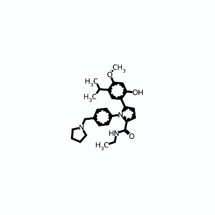 CCNC(=O)c1ccc(-c2cc(C(C)C)c(OC)cc2O)n1-c1ccc(CN2CCCC2)cc1